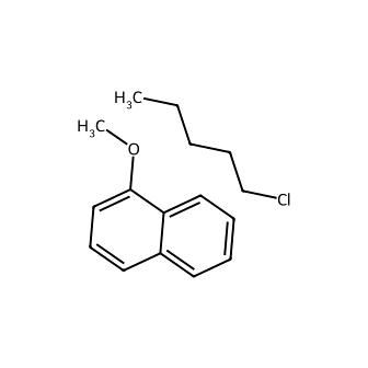 CCCCCCl.COc1cccc2ccccc12